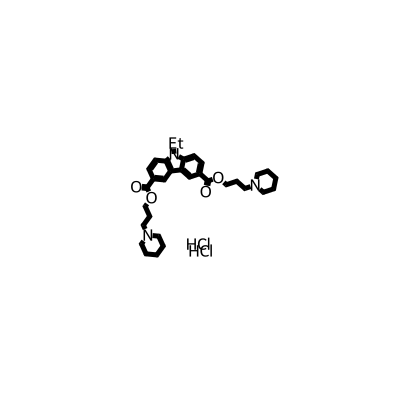 CCn1c2ccc(C(=O)OCCCN3CCCCC3)cc2c2cc(C(=O)OCCCN3CCCCC3)ccc21.Cl.Cl